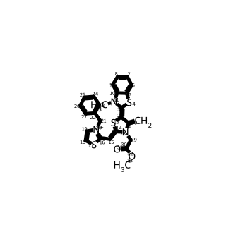 C=C1/C(=C2\Sc3ccccc3N2C)S/C(=C\c2scc[n+]2Cc2ccccc2)N1CC(=O)OC